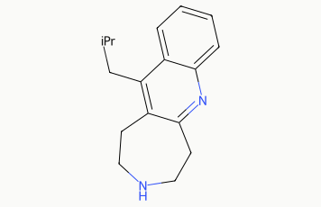 CC(C)Cc1c2c(nc3ccccc13)CCNCC2